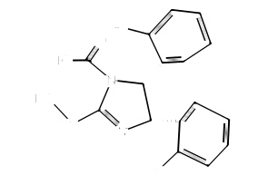 CSC1=N[C@@H](c2ccccc2Br)[C@@H](c2ccccc2Br)N1C(=O)O